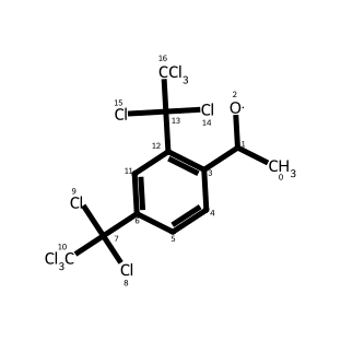 CC([O])c1ccc(C(Cl)(Cl)C(Cl)(Cl)Cl)cc1C(Cl)(Cl)C(Cl)(Cl)Cl